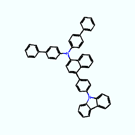 c1ccc(-c2ccc(N(c3ccc(-c4ccccc4)cc3)c3ccc(-c4ccc(-n5c6ccccc6c6ccccc65)cc4)c4ccccc34)cc2)cc1